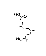 CC(CCC(=O)O)CCC(C)CCC(=O)O